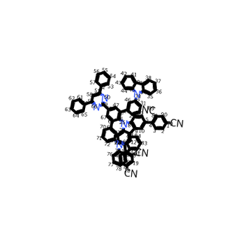 N#Cc1ccc(-c2ccc3c(c2)c2cc(-c4ccc(C#N)cc4C#N)ccc2n3-c2c(-c3cccc(-n4c5ccccc5c5ccccc54)c3)cc(-c3nc(-c4ccccc4)cc(-c4ccccc4)n3)cc2-c2cccc(-n3c4ccccc4c4ccccc43)c2)c(C#N)c1